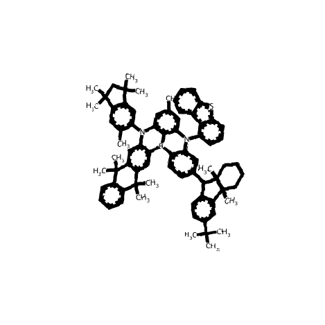 Cc1cc2c3c(c1)N(c1cccc4sc5ccccc5c14)c1cc(C4c5ccc(C(C)(C)C)cc5C5(C)CCCCC45C)ccc1B3c1cc3c(cc1N2c1cc2c(cc1C)C(C)(C)CC2(C)C)C(C)(C)c1ccccc1C3(C)C